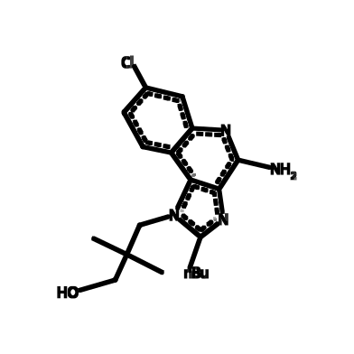 CCCCc1nc2c(N)nc3cc(Cl)ccc3c2n1CC(C)(C)CO